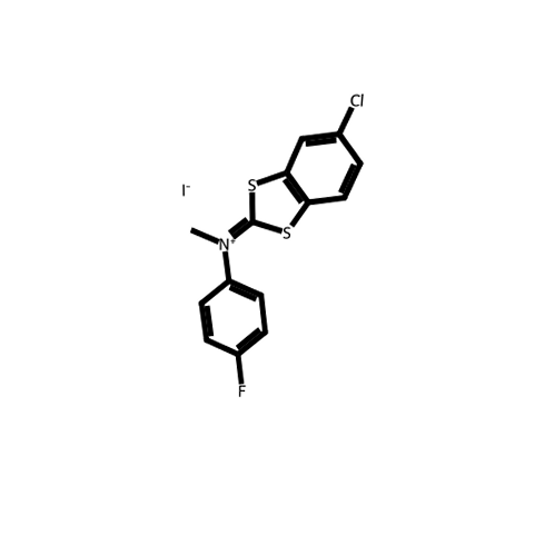 C[N+](c1ccc(F)cc1)=c1sc2ccc(Cl)cc2s1.[I-]